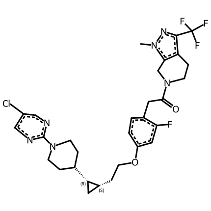 Cn1nc(C(F)(F)F)c2c1CN(C(=O)Cc1ccc(OCC[C@@H]3C[C@@H]3C3CCN(c4ncc(Cl)cn4)CC3)cc1F)CC2